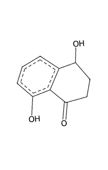 O=C1CCC(O)c2cccc(O)c21